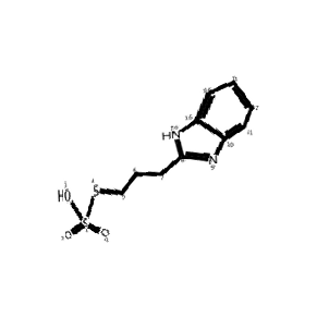 O=S(=O)(O)SCCCc1nc2ccccc2[nH]1